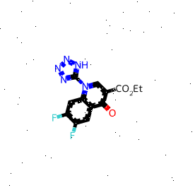 CCOC(=O)c1cn(-c2nnn[nH]2)c2cc(F)c(F)cc2c1=O